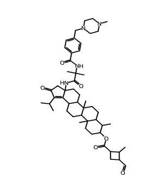 CC(C)C1=C2C3CCC4C(C)(CCC5C(C)C(OC(=O)C6CC(C=O)C6C)CCC54C)C3CCC2(NC(=O)C(C)(C)NC(=O)c2ccc(CN3CCN(C)CC3)cc2)CC1=O